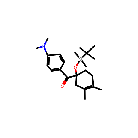 CC1=C(C)CC(O[Si](C)(C)C(C)(C)C)(C(=O)c2ccc(N(C)C)cc2)CC1